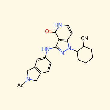 CC(=O)N1Cc2ccc(Nc3nn(C4CCCCC4C#N)c4cc[nH]c(=O)c34)cc2C1